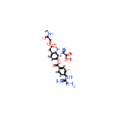 CN(C)C(=O)COC(=O)Cc1ccc(OC(=O)c2ccc(NC(=N)N)cc2)cc1.NCC(=O)O